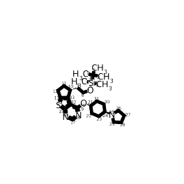 CC(C)(C)[Si](C)(C)OCC[C@H]1CCc2sc3ncnc(O[C@H]4CC[C@H](N5CCCC5)CC4)c3c21